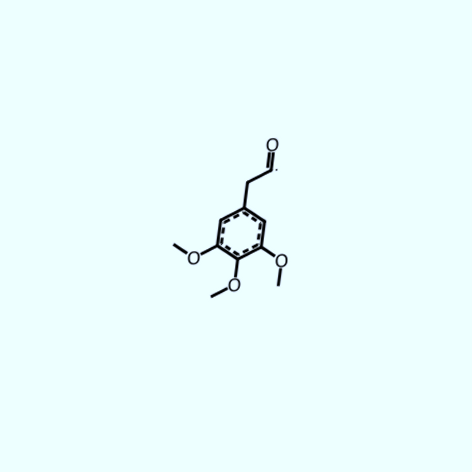 COc1cc(C[C]=O)cc(OC)c1OC